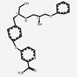 NC(=O)c1cc(Oc2ccc(C[C@@H](CO)NC[C@H](O)COc3ccccc3)cc2)ccn1